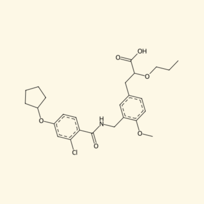 CCCOC(Cc1ccc(OC)c(CNC(=O)c2ccc(OC3CCCC3)cc2Cl)c1)C(=O)O